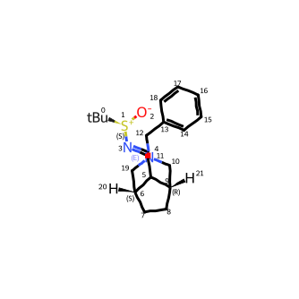 CC(C)(C)[S@@+]([O-])/N=C/C1[C@@H]2CC[C@H]1CN(Cc1ccccc1)C2